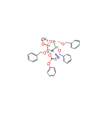 CO[C@H]1O[C@H](COCc2ccccc2)[C@H](OCc2ccccc2)[C@@](C#N)(OC(=S)Oc2ccccc2)[C@H]1OCc1ccccc1